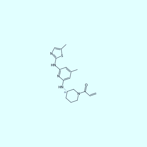 C=CC(=O)N1CCC[C@H](Nc2cc(C)cc(Nc3ncc(C)s3)n2)C1